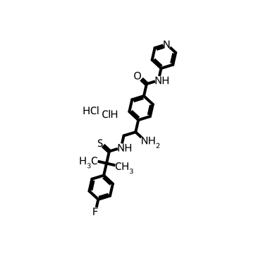 CC(C)(C(=S)NCC(N)c1ccc(C(=O)Nc2ccncc2)cc1)c1ccc(F)cc1.Cl.Cl